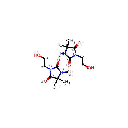 CC1(C)NC(=O)N(CCO)C1=O.CN1C(=O)N(CCO)C(=O)C1(C)C